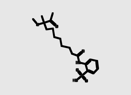 COC(C)(CCCCCCCC(=O)Nc1ccccc1S(=O)(=O)O)C(C)=O